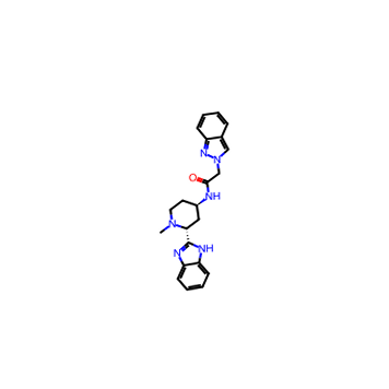 CN1CC[C@@H](NC(=O)Cn2cc3ccccc3n2)C[C@@H]1c1nc2ccccc2[nH]1